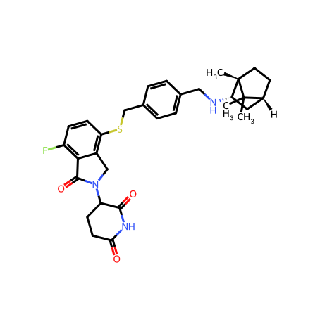 CC1(C)[C@@H]2CC[C@@]1(C)[C@@H](NCc1ccc(CSc3ccc(F)c4c3CN(C3CCC(=O)NC3=O)C4=O)cc1)C2